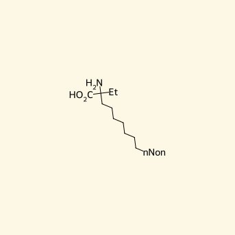 CCCCCCCCCCCCCCCCC(N)(CC)C(=O)O